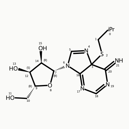 CC(C)CSC12N=CN([C@@H]3O[C@H](CO)[C@@H](O)[C@H]3O)C1=NC=NC2=N